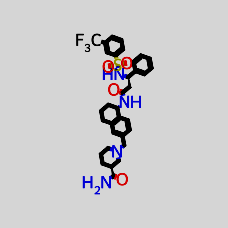 NC(=O)[C@H]1CCCN(Cc2ccc3c(c2)CCC[C@H]3NC(=O)C[C@@H](NS(=O)(=O)c2cccc(C(F)(F)F)c2)c2ccccc2)C1